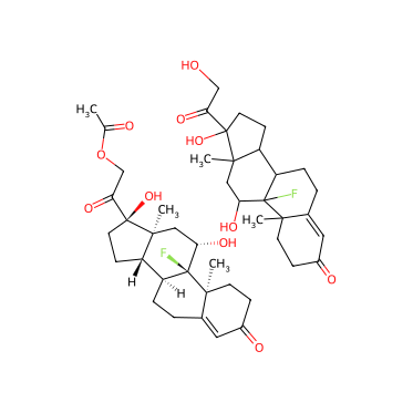 CC(=O)OCC(=O)[C@@]1(O)CC[C@H]2[C@@H]3CCC4=CC(=O)CC[C@]4(C)[C@@]3(F)[C@@H](O)C[C@@]21C.CC12CCC(=O)C=C1CCC1C3CCC(O)(C(=O)CO)C3(C)CC(O)C12F